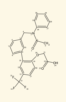 CC(=O)N(Cc1cccc(-c2cc(C(F)(F)F)ccc2OCC(=O)O)c1)c1ccccc1